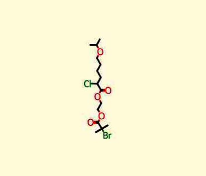 CC(C)OCCCCC(Cl)C(=O)OCCOC(=O)C(C)(C)Br